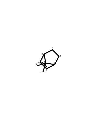 CC1(C)C2[CH]CC1C=C2